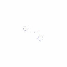 O=C(NCc1nccs1)c1ccn[nH]1